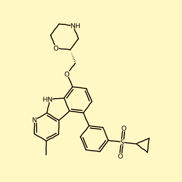 Cc1cnc2[nH]c3c(OC[C@H]4CNCCO4)ccc(-c4cccc(S(=O)(=O)C5CC5)c4)c3c2c1